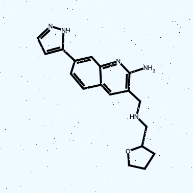 Nc1nc2cc(-c3ccn[nH]3)ccc2cc1CNCC1CCCO1